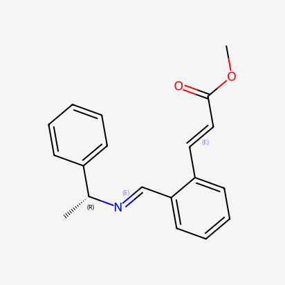 COC(=O)/C=C/c1ccccc1/C=N/[C@H](C)c1ccccc1